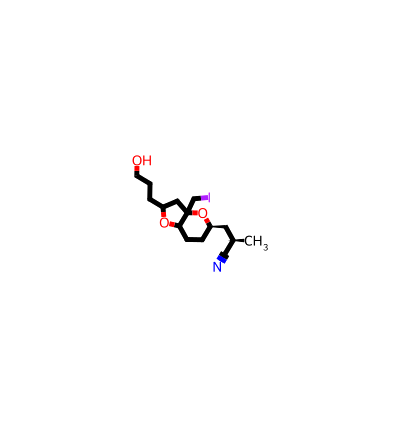 C[C@@H](C#N)C[C@H]1CCC2OC(CCCO)CC2(CI)O1